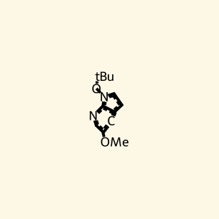 COc1cnc2c(ccn2OC(C)(C)C)c1